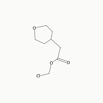 O=C(CC1CCOCC1)OCCl